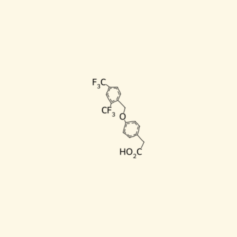 O=C(O)Cc1ccc(OCc2ccc(C(F)(F)F)cc2C(F)(F)F)cc1